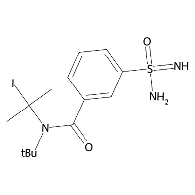 CC(C)(C)N(C(=O)c1cccc(S(=N)(N)=O)c1)C(C)(C)I